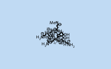 CC[C@H](C)[C@H](NC(=O)[C@H](Cc1ccc(O)cc1)NC(=O)CCC(=O)NC)C(=O)N[C@@H](CCC(N)=O)C(=O)N[C@@H](CC(N)=O)C(=O)N[C@@H](C)C(=O)N(CC(=O)N[C@@H](CO)C(=O)NCC(N)=O)C1CC1